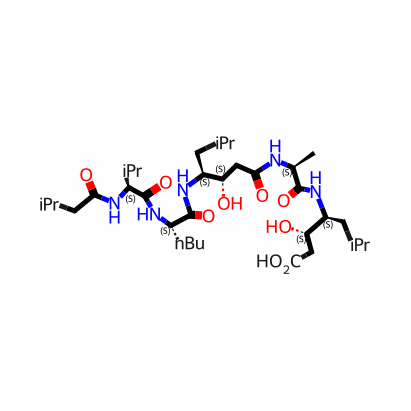 CCCC[C@H](NC(=O)[C@@H](NC(=O)CC(C)C)C(C)C)C(=O)N[C@@H](CC(C)C)[C@@H](O)CC(=O)N[C@@H](C)C(=O)N[C@@H](CC(C)C)[C@@H](O)CC(=O)O